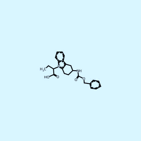 CCC(C(=O)O)n1c2c(c3ccccc31)CC(NC(=O)OCc1ccccc1)CC2